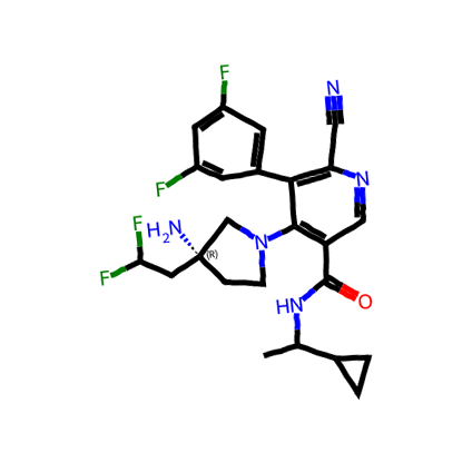 CC(NC(=O)c1cnc(C#N)c(-c2cc(F)cc(F)c2)c1N1CC[C@@](N)(CC(F)F)C1)C1CC1